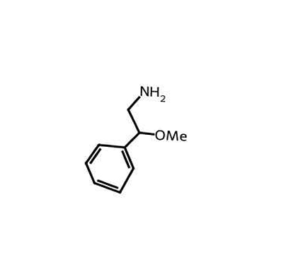 COC(CN)c1ccccc1